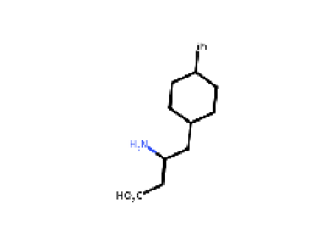 CC(C)C1CCC(CC(N)CC(=O)O)CC1